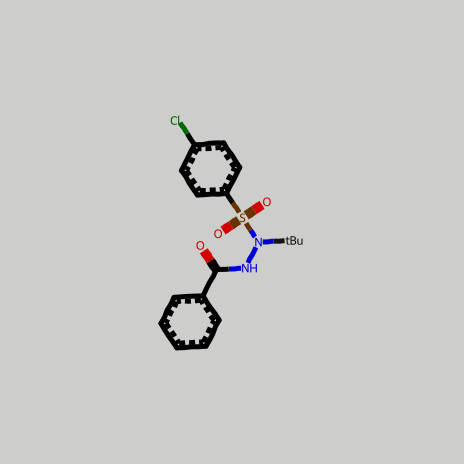 CC(C)(C)N(NC(=O)c1ccccc1)S(=O)(=O)c1ccc(Cl)cc1